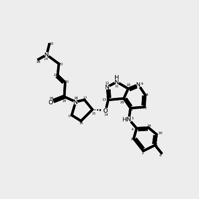 Cc1ccc(Nc2ccnc3[nH]nc(O[C@@H]4CCN(C(=O)/C=C/CN(C)C)C4)c23)cc1